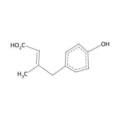 CC(=CC(=O)O)Cc1ccc(O)cc1